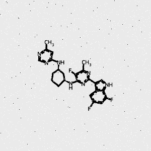 Cc1cc(N[C@@H]2CCC[C@H](Nc3nc(-c4c[nH]c5c(F)cc(F)cc45)nc(C)c3F)C2)ncn1